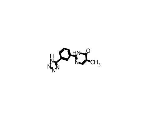 Cc1cnc(-c2cccc(-c3nnn[nH]3)c2)[nH]c1=O